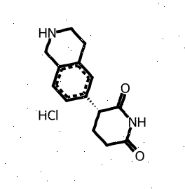 Cl.O=C1CC[C@H](c2ccc3c(c2)CCNC3)C(=O)N1